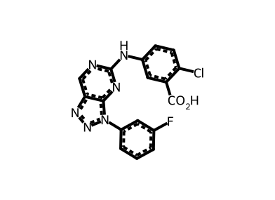 O=C(O)c1cc(Nc2ncc3nnn(-c4cccc(F)c4)c3n2)ccc1Cl